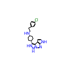 Clc1ccc(CCN[C@H]2CC[C@H](C3=C4c5cc[nH]c5N=CN4NN3)CC2)cc1